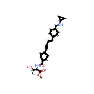 COC(=O)[C@@H](NC(=O)c1ccc(C#C/C=C/c2ccc(CNC3CC3)cc2)cc1)[C@@H](C)O